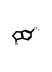 FC(F)(F)c1ccc2c(c1)CCC2Br